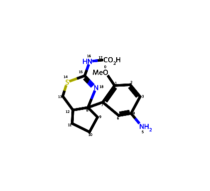 COc1ccc(N)cc1C12CCCC1CSC(NC(=O)O)=N2